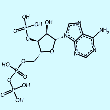 Nc1ncnc2c1ncn2[C@@H]1O[C@H](COP(=O)(O)OP(=O)(O)O)[C@@H](OP(=O)(O)O)[C@H]1O